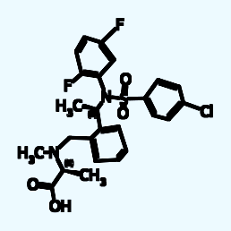 C[C@H](c1ccccc1CN(C)[C@@H](C)C(=O)O)N(c1cc(F)ccc1F)S(=O)(=O)c1ccc(Cl)cc1